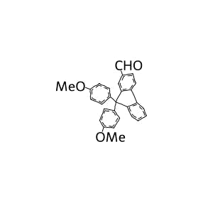 COc1ccc(C2(c3ccc(OC)cc3)c3ccccc3-c3ccc(C=O)cc32)cc1